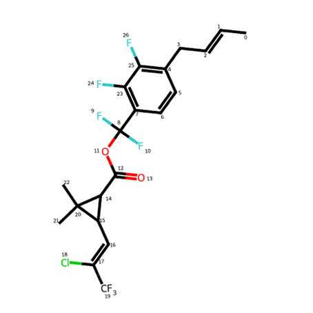 CC=CCc1ccc(C(F)(F)OC(=O)C2C(C=C(Cl)C(F)(F)F)C2(C)C)c(F)c1F